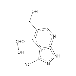 N#Cc1n[nH]c2ncc(CO)nc12.O=CO